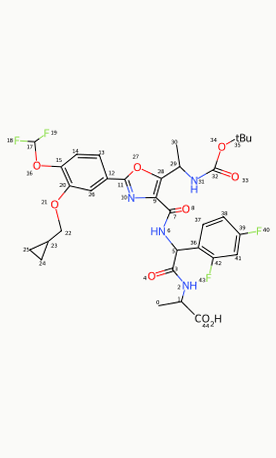 CC(NC(=O)C(NC(=O)c1nc(-c2ccc(OC(F)F)c(OCC3CC3)c2)oc1C(C)NC(=O)OC(C)(C)C)c1ccc(F)cc1F)C(=O)O